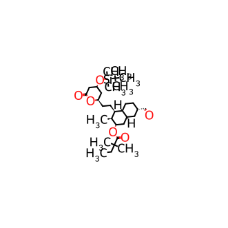 CCC(C)(C)C(=O)O[C@H]1C[C@@H]2C[C@@H](C=O)CC[C@@H]2[C@H](CC[C@@H]2C[C@@H](O[Si](C)(C)C(C)(C)C)CC(=O)O2)[C@@H]1C